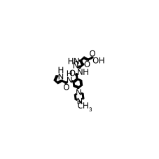 CN1CCN(c2ccc(C(=O)Nc3n[nH]c4cc(C(=O)O)oc34)c(NC(=O)c3ccc[nH]3)c2)CC1